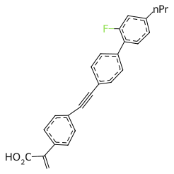 C=C(C(=O)O)c1ccc(C#Cc2ccc(-c3ccc(CCC)cc3F)cc2)cc1